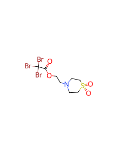 O=C(OCCN1CCS(=O)(=O)CC1)C(Br)(Br)Br